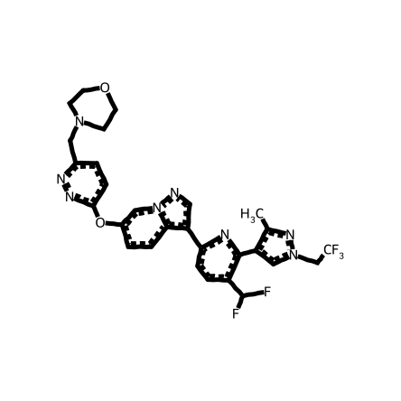 Cc1nn(CC(F)(F)F)cc1-c1nc(-c2cnn3cc(Oc4ccc(CN5CCOCC5)nn4)ccc23)ccc1C(F)F